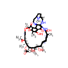 CO[C@H]1/C=C/O[C@@]2(C)Oc3c(C)c(O)c4c(c3C2=O)/C2=N/CCC3CC[C@@H](CNC2=C(NC(O)/C(C)=C\C=C\[C@H](C)[C@H](O)[C@@H](C)[C@@H](O)[C@@H](C)[C@H](OC(C)=O)[C@@H]1C)C4=O)N3C